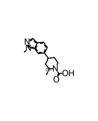 C[C@H]1CC(c2ccc3cnn(C)c3c2)CCN1C(=O)O